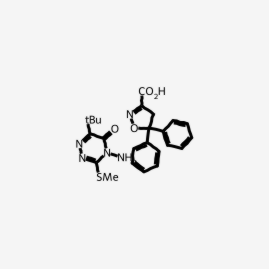 CSc1nnc(C(C)(C)C)c(=O)n1N.O=C(O)C1=NOC(c2ccccc2)(c2ccccc2)C1